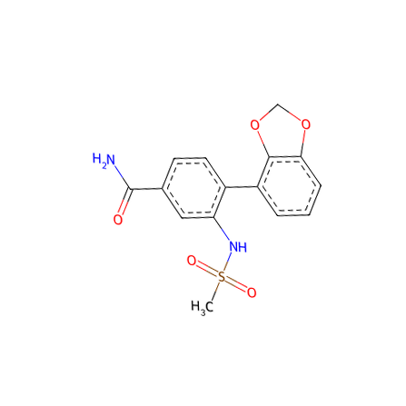 CS(=O)(=O)Nc1cc(C(N)=O)ccc1-c1cccc2c1OCO2